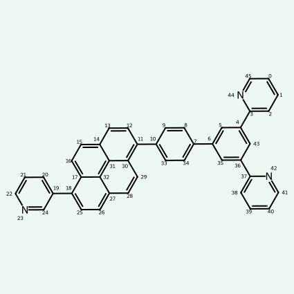 c1ccc(-c2cc(-c3ccc(-c4ccc5ccc6c(-c7cccnc7)ccc7ccc4c5c76)cc3)cc(-c3ccccn3)c2)nc1